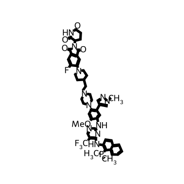 COc1cc(N2CCN(CCC3CCN(c4cc5c(cc4F)C(=O)N(C4CCC(=O)NC4=O)C5=O)CC3)CC2)c(-c2cnn(C)c2)cc1Nc1ncc(C(F)(F)F)c(Nc2ccc3ccccc3c2P(C)C)n1